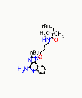 CCCCc1nc2c(N)nc3ccccc3c2n1OCCCCNC(=O)C(C)(C)CC(C)(C)C